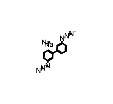 [N-]=[N+]=Nc1cccc(-c2cccc(N=[N+]=[N-])c2)c1.[Na].[Na]